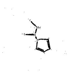 FNN(F)n1cccc1